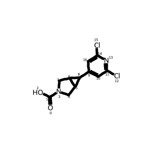 O=C(O)N1CC2C(C1)C2c1cc(Cl)nc(Cl)c1